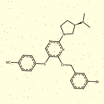 CN(C)[C@@H]1CCN(c2ncc(Sc3ccc(C#N)cc3)c(OCc3cccc(Br)c3)n2)C1